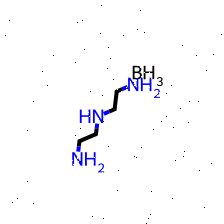 B.NCCNCCN